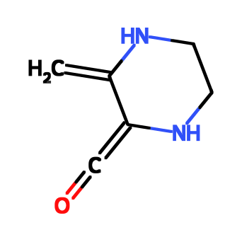 C=C1NCCNC1=C=O